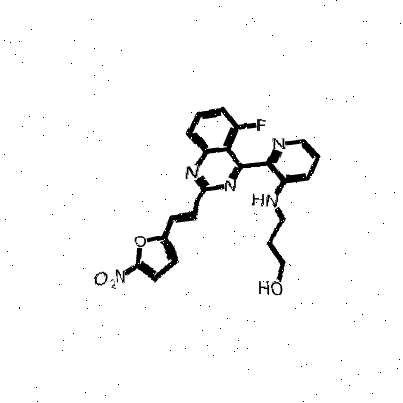 O=[N+]([O-])c1ccc(/C=C/c2nc(-c3ncccc3NCCCO)c3c(F)cccc3n2)o1